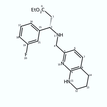 CCOC(=O)C[C@H](NCc1ccc2c(n1)NCCC2)c1cccc(F)c1